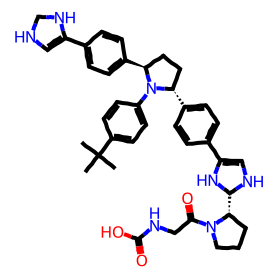 CC(C)(C)c1ccc(N2[C@@H](c3ccc(C4=CNCN4)cc3)CC[C@@H]2c2ccc(C3=CNC([C@@H]4CCCN4C(=O)CNC(=O)O)N3)cc2)cc1